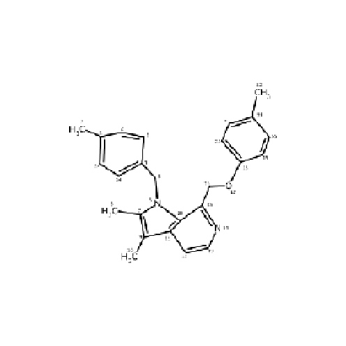 Cc1ccc(Cn2c(C)c(C)c3ccnc(COc4ccc(C)cc4)c32)cc1